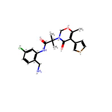 CC1=C(c2ccsc2)C(=O)N(C(C)(C)C(=O)Nc2cc(Cl)ccc2CN)CO1